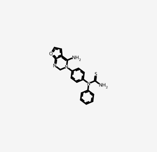 NC(=S)N(c1ccccc1)c1ccc(N2CN=c3occc3=C2N)cc1